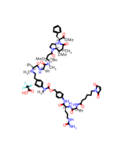 CC[C@H](C)[C@@H]([C@@H](CC(=O)N1CCC[C@H]1[C@H](OC)[C@@H](C)C(=O)N[C@@H](Cc1ccccc1)C(=O)OC)OC)N(C)C(=O)[C@@H](NC(=O)[C@H](C(C)C)N(C)CCc1ccc(N(C)C(=O)OCc2ccc(NC(=O)[C@H](CCCNC(N)=O)NC(=O)[C@@H](NC(=O)CCCCCN3C(=O)C=CC3=O)C(C)C)cc2)cc1)C(C)C.O=C(O)C(F)(F)F